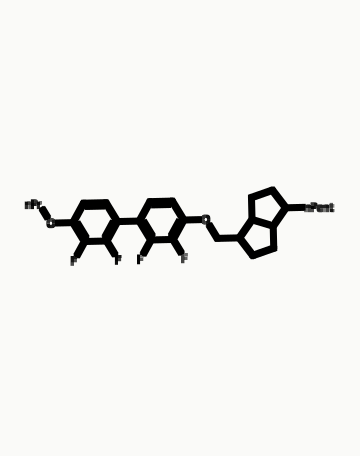 CCCCCC1CCC2C(COc3ccc(-c4ccc(OCCC)c(F)c4F)c(F)c3F)CCC12